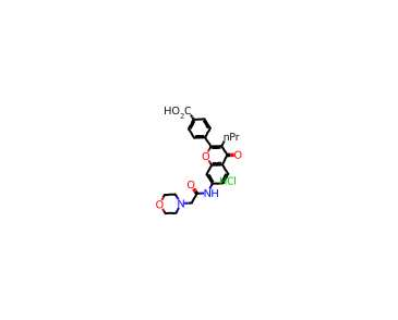 CCCc1c(-c2ccc(C(=O)O)cc2)oc2cc(NC(=O)CN3CCOCC3)ccc2c1=O.Cl